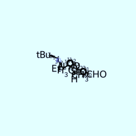 CCN(C/C=C/C#CC(C)(C)C)Cc1cccc(OC(c2ccc(C=O)cc2)[SiH](C)C)c1